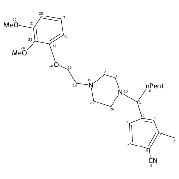 CCCCCC(c1ccc(C#N)c(C)c1)N1CCN(CCOc2cccc(OC)c2OC)CC1